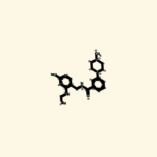 CCC(C)CNc1nc(C#N)ncc1CNC(=O)c1cccc(N2CCN(C)CC2)c1